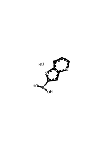 Cl.OB(O)c1cc2ncccc2s1